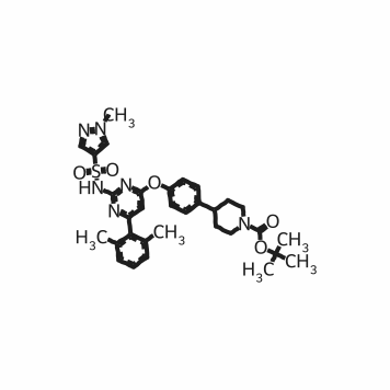 Cc1cccc(C)c1-c1cc(Oc2ccc(C3CCN(C(=O)OC(C)(C)C)CC3)cc2)nc(NS(=O)(=O)c2cnn(C)c2)n1